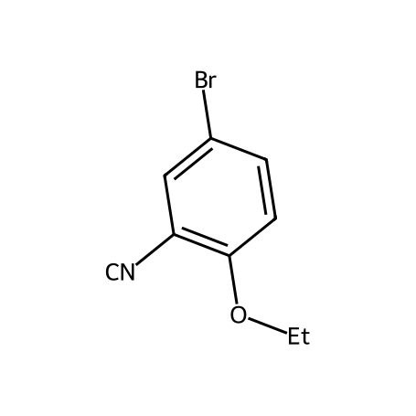 [C-]#[N+]c1cc(Br)ccc1OCC